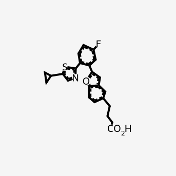 O=C(O)CCCc1ccc2oc(-c3cc(F)ccc3-c3ncc(C4CC4)s3)cc2c1